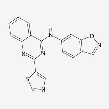 c1ccc2c(Nc3ccc4cnoc4c3)nc(-c3cncs3)nc2c1